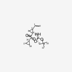 C=CC1C[C@]1(NC(=O)OC(C)(C)C)S(=O)(=O)C1CC1